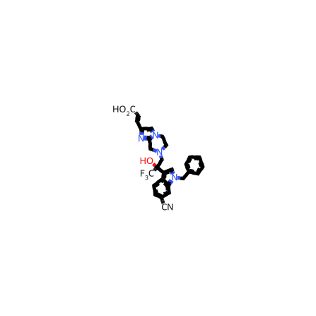 N#Cc1ccc2c(C(O)(CN3CCn4cc(C=CC(=O)O)nc4C3)C(F)(F)F)cn(Cc3ccccc3)c2c1